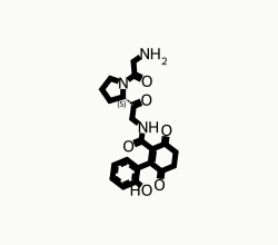 NCC(=O)N1CCC[C@H]1C(=O)CNC(=O)C1=C(c2ccccc2O)C(=O)CCC1=O